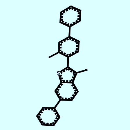 Cc1cc(-c2ccccc2)ccc1-c1sc2cc(-c3ccccc3)ccc2c1C